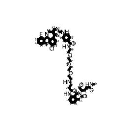 CNC(=O)CCC(C=O)N(C=O)Cc1c(C)cccc1NC(=O)CCNCCOCCOCCOCCNC(=O)c1ccc(Nc2ncc3c(n2)-c2ccc(Cl)cc2C(c2c(F)cccc2F)=NC3)cc1